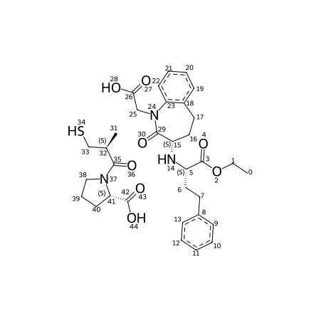 CCOC(=O)[C@H](CCc1ccccc1)N[C@H]1CCc2ccccc2N(CC(=O)O)C1=O.C[C@H](CS)C(=O)N1CCC[C@H]1C(=O)O